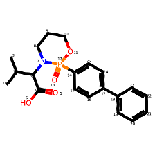 CC(C)C(C(=O)O)N1CCCOP1(=O)c1ccc(-c2ccccc2)cc1